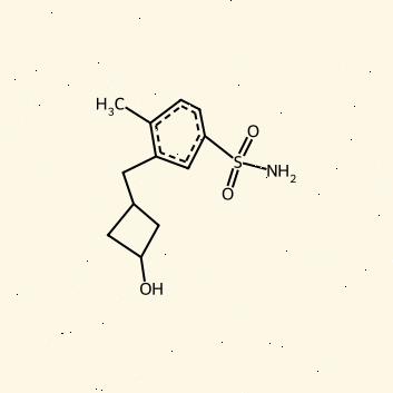 Cc1ccc(S(N)(=O)=O)cc1CC1CC(O)C1